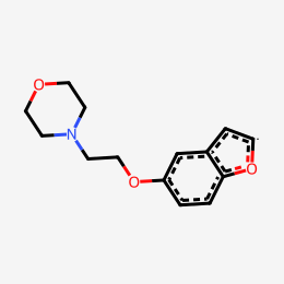 [c]1cc2cc(OCCN3CCOCC3)ccc2o1